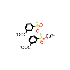 O=C([O-])c1cccc(S(=O)(=O)F)c1.O=C([O-])c1cccc(S(=O)(=O)F)c1.[Cu+2]